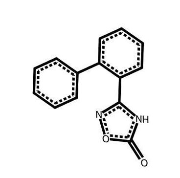 O=c1[nH]c(-c2ccccc2-c2ccccc2)no1